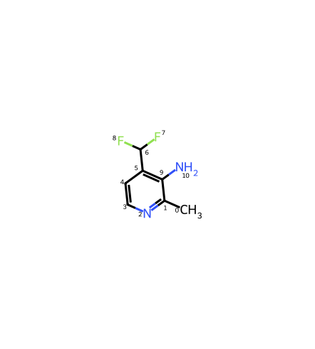 Cc1nccc(C(F)F)c1N